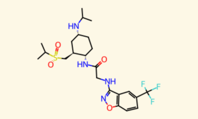 CC(C)N[C@@H]1CC[C@H](NC(=O)CNc2noc3ccc(C(F)(F)F)cc23)[C@@H](CS(=O)(=O)C(C)C)C1